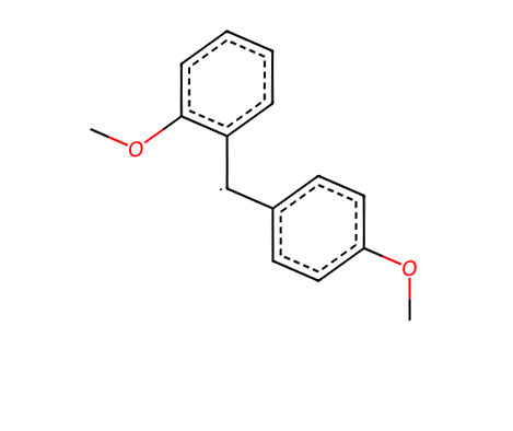 COc1ccc([CH]c2ccccc2OC)cc1